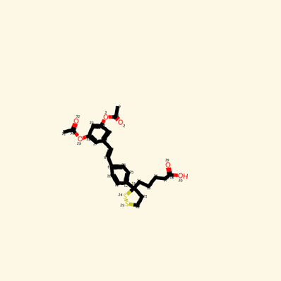 CC(=O)Oc1cc(/C=C/c2ccc(C3(CCCCC(=O)O)CCSS3)cc2)cc(OC(C)=O)c1